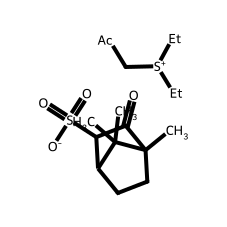 CC12CCC(C(S(=O)(=O)[O-])C1=O)C2(C)C.CC[S+](CC)CC(C)=O